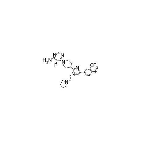 Nc1ncnc(N2CCC(c3nc(-c4ccc(F)c(C(F)(F)F)c4)cn3CCN3CCCC3)CC2)c1F